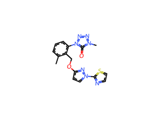 Cc1cccc(-n2nnn(C)c2=O)c1COc1ccn(-c2nccs2)n1